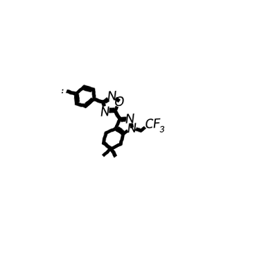 [CH]c1ccc(-c2noc(-c3nn(CC(F)(F)F)c4c3CCC(C)(C)C4)n2)cc1